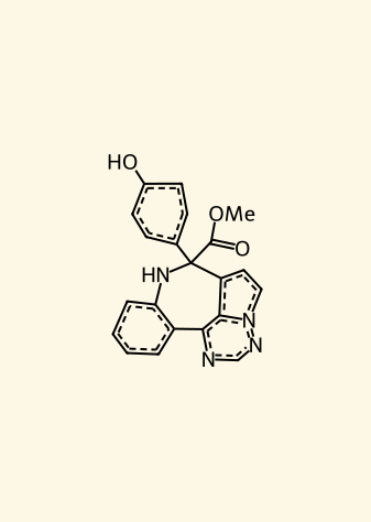 COC(=O)C1(c2ccc(O)cc2)Nc2ccccc2-c2ncnn3ccc1c23